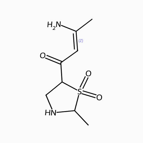 C/C(N)=C/C(=O)C1CNC(C)S1(=O)=O